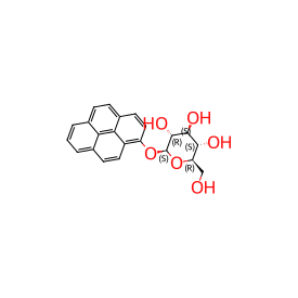 OC[C@H]1O[C@@H](Oc2ccc3ccc4cccc5ccc2c3c45)[C@H](O)[C@@H](O)[C@@H]1O